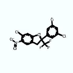 O=[N+]([O-])c1cc2c(cc1Cl)OC(c1cc(Cl)cc(Cl)c1)(C(F)(F)F)C2